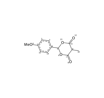 COc1ccc(C2OC(=O)C(C)C(=O)O2)cc1